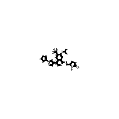 CC(C)Oc1cc2c(OCC3CCC(=O)N3)ncc(-c3cnn(C4CCCC4)c3)c2cc1C(N)=O